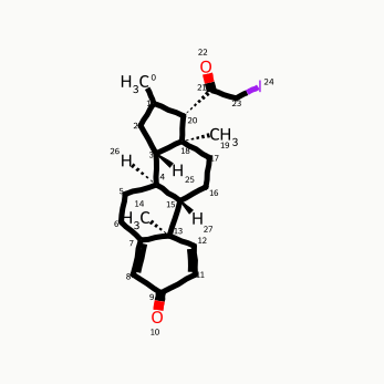 CC1C[C@H]2[C@@H]3CCC4=CC(=O)C=C[C@]4(C)[C@H]3CC[C@]2(C)[C@H]1C(=O)CI